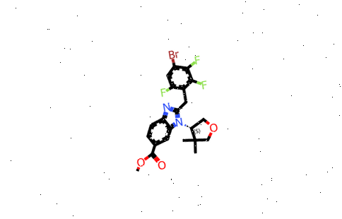 COC(=O)c1ccc2nc(Cc3c(F)cc(Br)c(F)c3F)n([C@@H]3COCC3(C)C)c2c1